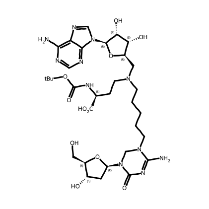 CC(C)(C)OC(=O)N[C@@H](CCN(CCCCCN1CN([C@H]2C[C@H](O)[C@@H](CO)O2)C(=O)N=C1N)C[C@H]1O[C@@H](n2cnc3c(N)ncnc32)[C@H](O)[C@@H]1O)C(=O)O